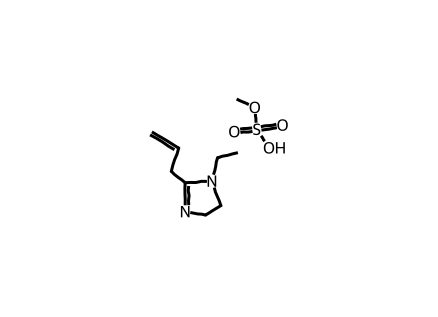 C=CCC1=NCCN1CC.COS(=O)(=O)O